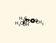 COc1ccc(OCC(C)OCC(C)O)cc1